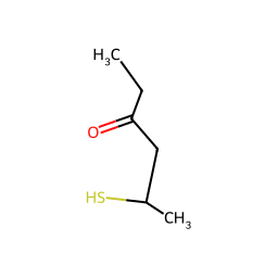 CCC(=O)CC(C)S